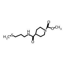 COC(=O)N1CCC(C(=O)NCCCSC)CC1